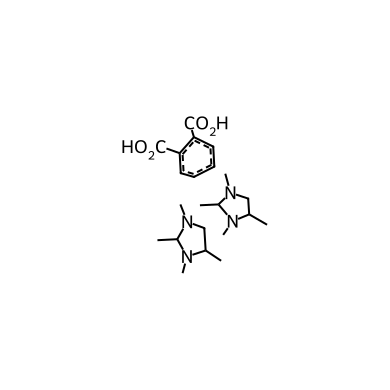 CC1CN(C)C(C)N1C.CC1CN(C)C(C)N1C.O=C(O)c1ccccc1C(=O)O